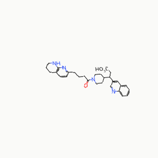 O=C(O)CC(c1cnc2ccccc2c1)C1CCN(C(=O)CCCc2ccc3c(n2)NCCC3)CC1